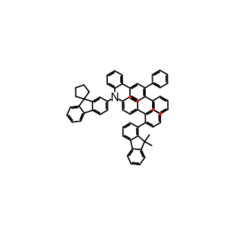 CC1(C)c2ccccc2-c2cccc(-c3ccccc3-c3ccc(N(c4ccc5c(c4)C4(CCCC4)c4ccccc4-5)c4ccccc4-c4ccc(-c5ccccc5)c(-c5ccccc5)c4)cc3)c21